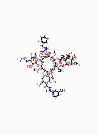 CON=C1C[C@@H](C)O[C@@H](O[C@@H]2[C@@H](C)[C@H](O[C@H]3CC(C)N(CCNc4cc(C)ccn4)C[C@H](C)O3)[C@@H](C)C(=O)O[C@H]([C@@H](C)CO[C@@H]3O[C@H](C)[C@@H](O)[C@@H](OC)[C@H]3OC)[C@H](C)[C@@H](OC(=O)CC(C)C)[C@@H](C)C(=O)[C@@](C)(OC(=O)NCc3ccccc3)C[C@@H]2C)[C@@H]1O